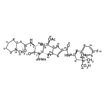 CCCCCCN(C(=O)[C@@H](NC(=O)CC1CCCCN1C)[C@@H](C)CC)[C@H](C[C@@H](OC(C)=O)c1nc(C(=O)N[C@@H](Cc2ccc(F)cc2)CC(C)(C)C(=O)O)cs1)C(C)C